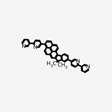 CC1(C)c2cc(-c3ccc(-c4cccnc4)nc3)ccc2-c2c1cc1ccc3c(-c4ccc(-c5cccnc5)nc4)ccc4ccc2c1c43